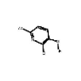 CC(=O)c1ccc(OC(C)C)c(Cl)n1